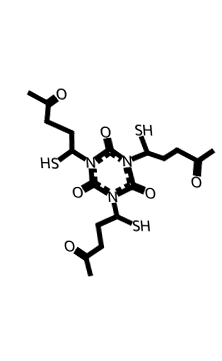 CC(=O)CCC(S)n1c(=O)n(C(S)CCC(C)=O)c(=O)n(C(S)CCC(C)=O)c1=O